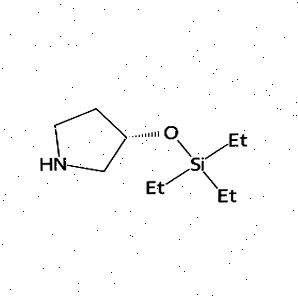 CC[Si](CC)(CC)O[C@H]1CCNC1